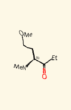 CCC(=O)[C@H](CCOC)NC